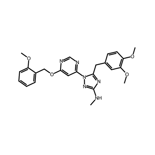 CNc1nc(Cc2ccc(OC)c(OC)c2)n(-c2cc(OCc3ccccc3OC)ncn2)n1